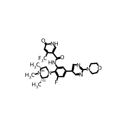 C[C@@H]1CN(c2c(F)cc(-c3cnc(N4CCOCC4)nc3)cc2NC(=O)c2c[nH]c(=O)cc2C(F)(F)F)C[C@H](C)N1C